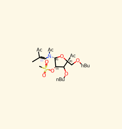 CCCCOC[C@@]1(C(C)=O)O[C@@H](N(/C=C(/C)C(C)=O)C(C)=O)[C@@H](OS(C)(=O)=O)C1OCCCC